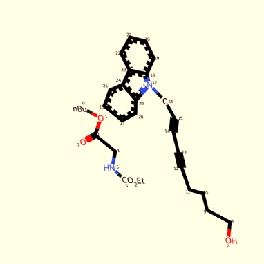 CCCCOC(=O)CNC(=O)OCC.OCCCCC#CC#CCn1c2ccccc2c2ccccc21